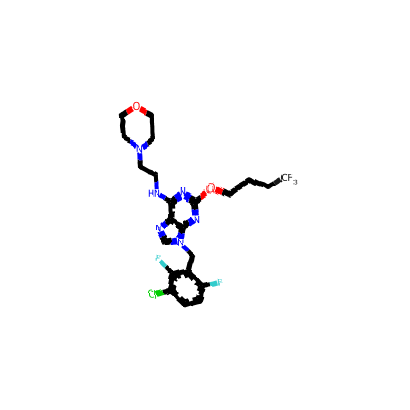 Fc1ccc(Cl)c(F)c1Cn1cnc2c(NCCN3CCOCC3)nc(OCCCC(F)(F)F)nc21